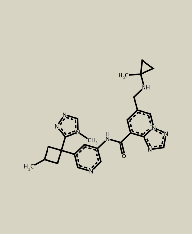 CC1CC(c2cncc(NC(=O)c3cc(CNC4(C)CC4)cn4ncnc34)c2)(c2nncn2C)C1